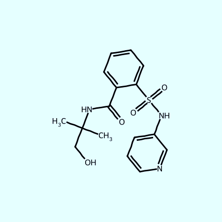 CC(C)(CO)NC(=O)c1ccccc1S(=O)(=O)Nc1cccnc1